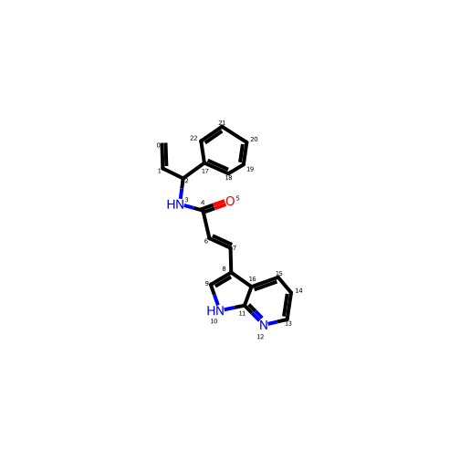 C=CC(NC(=O)/C=C/c1c[nH]c2ncccc12)c1ccccc1